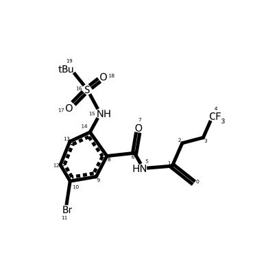 C=C(CCC(F)(F)F)NC(=O)c1cc(Br)ccc1NS(=O)(=O)C(C)(C)C